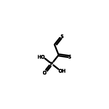 O=P(O)(O)C(=S)C=S